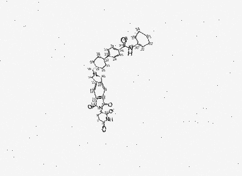 O=C1CCC(N2C(=O)c3cc4c(cc3C2=O)CN(C[C@H]2CC[C@H](c3ccc(C(=O)NC5CCCCC5)cc3)CC2)C4)C(=O)N1